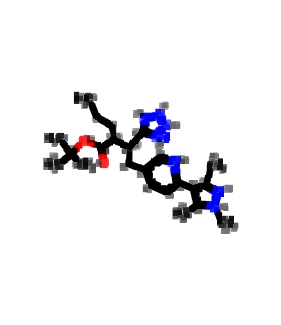 CCC[C@H](C(=O)OC(C)(C)C)[C@H](Cc1ccc(-c2c(C)nn(C)c2C)nc1)c1nnn[nH]1